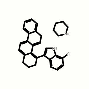 C1CCNCC1.Clc1cccc2c(C3=c4c(ccc5c4=CCc4ccccc4-5)CCC3)c[nH]c12